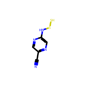 N#Cc1cnc(NSS)cn1